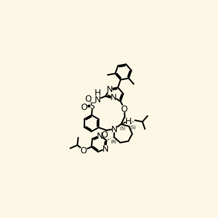 Cc1cccc(C)c1-c1cc2nc(n1)NS(=O)(=O)c1cccc(c1)C(=O)N1[C@@H](c3ncc(OC(C)C)cn3)CCC[C@@H](CC(C)C)[C@H]1CO2